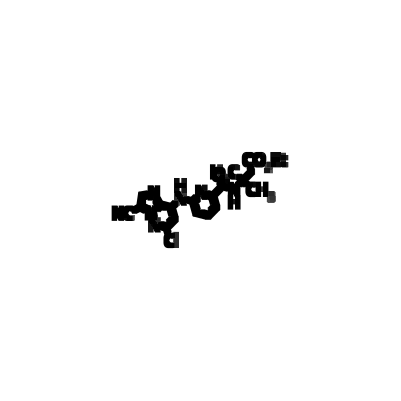 CCOC(=O)CC(C)(C)NC(=O)c1cccc(Nc2cc(Cl)nn3c(C#N)cnc23)n1